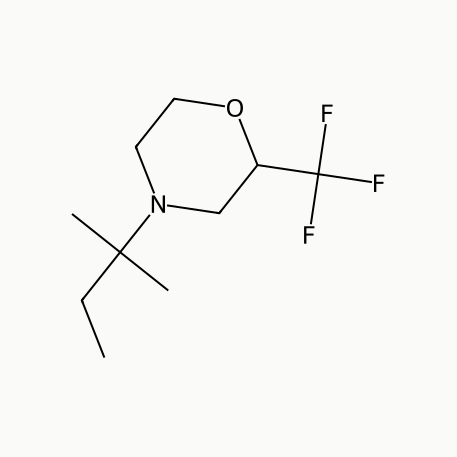 CCC(C)(C)N1CCOC(C(F)(F)F)C1